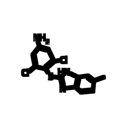 Cc1ccc2nc(Sc3c(Cl)cc(N)cc3Cl)[nH]c2c1